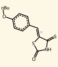 CCCCOc1ccc(/C=C2\SC(=O)NC2=S)cc1